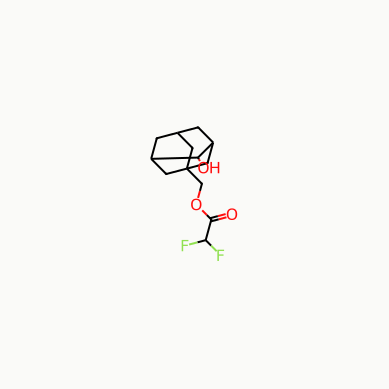 O=C(OCC12CC3CC(C1)C(O)C(C3)C2)C(F)F